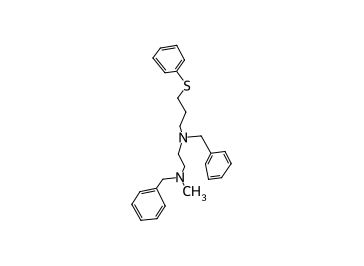 CN(CCN(CCCSc1ccccc1)Cc1ccccc1)Cc1ccccc1